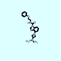 CN(C)C1CN(c2cccc3c2ncn3C(=O)NCCOc2ccccc2)C1